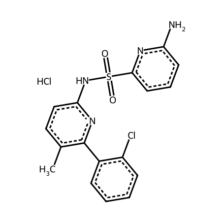 Cc1ccc(NS(=O)(=O)c2cccc(N)n2)nc1-c1ccccc1Cl.Cl